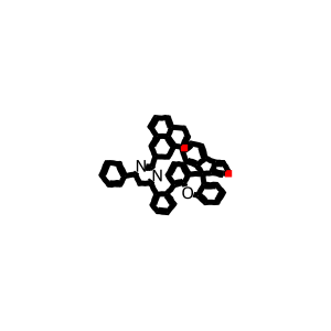 C1=CC2=c3c(cccc3=CC(C3=NC(c4ccccc4)CC(c4ccccc4-c4cccc5c4Oc4ccccc4C54c5ccccc5-c5ccccc54)=N3)C2)C1